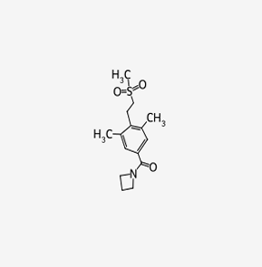 Cc1cc(C(=O)N2CCC2)cc(C)c1CCS(C)(=O)=O